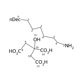 CCCCCCCCCCCCCCCCN.O=C(O)CC(O)(CC(=O)O)C(=O)O